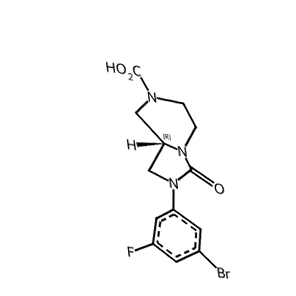 O=C(O)N1CCN2C(=O)N(c3cc(F)cc(Br)c3)C[C@@H]2C1